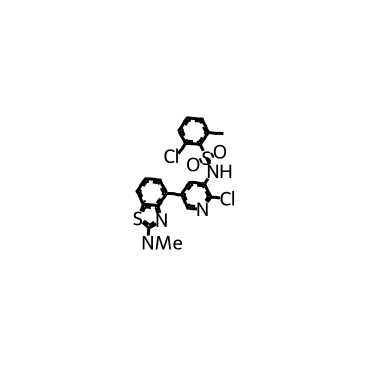 CNc1nc2c(-c3cnc(Cl)c(NS(=O)(=O)c4c(C)cccc4Cl)c3)cccc2s1